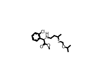 COC(=O)[C@@H](NCCC(C)SCOC(C)C)c1ccccc1Cl